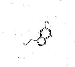 CCn1ccc2ncc(N)cc21